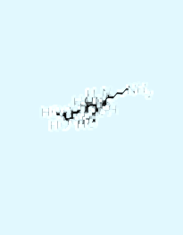 NCCCC[C@H](N)C(=O)N[C@@H]1[C@H](O)[C@@H](CO)OC(OC[C@@]2(O)O[C@H](CO)[C@@H](O)[C@@H]2O)[C@@H]1O